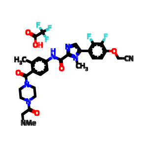 CNCC(=O)N1CCN(C(=O)c2ccc(NC(=O)c3ncc(-c4ccc(OCC#N)c(F)c4F)n3C)cc2C)CC1.O=C(O)C(F)(F)F